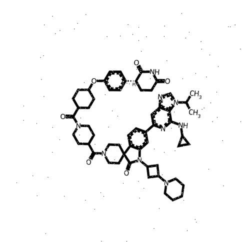 CC(C)n1cnc2cc(-c3ccc4c(c3)N(C3CC(N5CCCCC5)C3)C(=O)C43CCN(C(=O)C4CCN(C(=O)C5CCC(Oc6ccc([C@H]7CCC(=O)NC7=O)cc6)CC5)CC4)CC3)nc(NC3CC3)c21